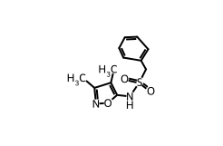 Cc1noc(NS(=O)(=O)Cc2ccccc2)c1C